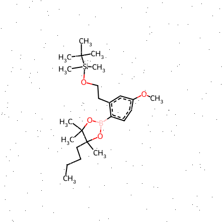 CCCCC1(C)OB(c2ccc(OC)cc2CCO[Si](C)(C)C(C)(C)C)OC1(C)C